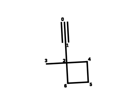 C#CC1(C)CCC1